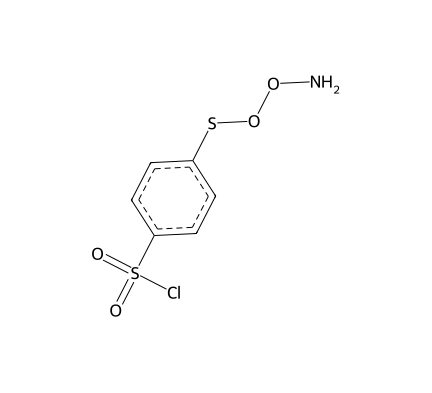 NOOSc1ccc(S(=O)(=O)Cl)cc1